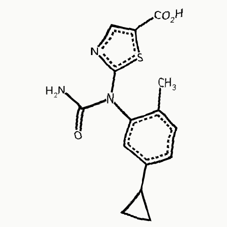 Cc1ccc(C2CC2)cc1N(C(N)=O)c1ncc(C(=O)O)s1